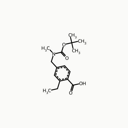 CCc1cc(CN(C)C(=O)OC(C)(C)C)ccc1C(=O)O